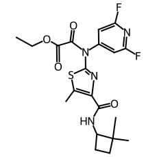 CCOC(=O)C(=O)N(c1cc(F)nc(F)c1)c1nc(C(=O)NC2CCC2(C)C)c(C)s1